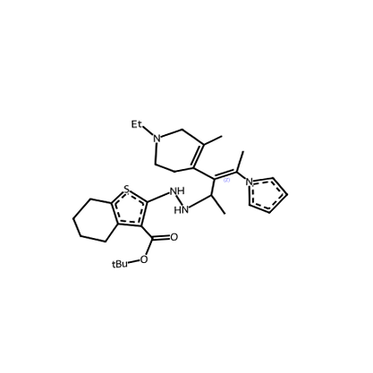 CCN1CCC(/C(=C(\C)n2cccc2)C(C)NNc2sc3c(c2C(=O)OC(C)(C)C)CCCC3)=C(C)C1